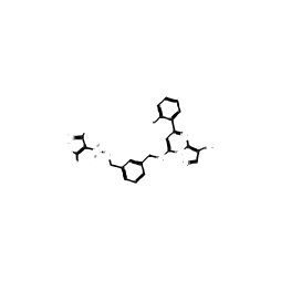 Cc1noc(C)c1S(=O)(=O)NCc1cccc(CNc2cc(-c3ccccc3Cl)nc3c(Br)cnn23)c1